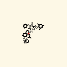 Cc1cc(C)c(OCC(=O)N[C@@H](Cc2ccccc2)[C@@H](O)C[C@H](Cc2ccccc2)NC(=O)CC(C)CN2CCNC2=O)c(C)c1